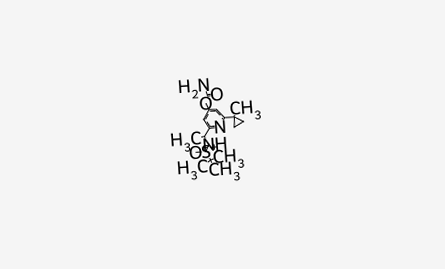 CC(N[S+]([O-])C(C)(C)C)c1cc(OC(N)=O)cc(C2(C)CC2)n1